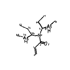 C=CC(=O)N(C(CC)[AsH]C)C(CC)[AsH]C